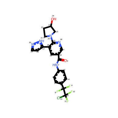 O=C(Nc1ccc(C(F)(F)C(F)(F)Cl)cc1)c1cnc(N2CCC(O)C2)c(-c2ccn[nH]2)c1